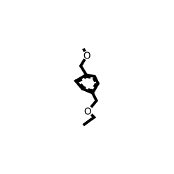 CCOCc1ccc(COC)cc1